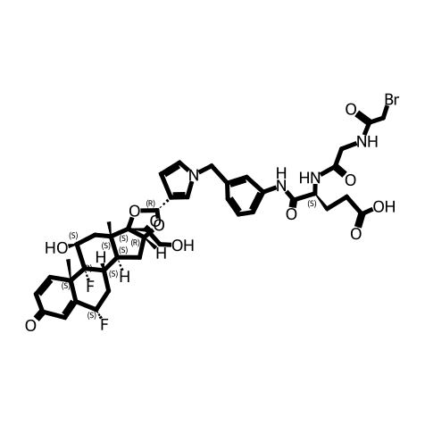 C[C@]12C=CC(=O)C=C1[C@@H](F)C[C@H]1[C@@H]3C[C@H]4O[C@@H](c5ccn(Cc6cccc(NC(=O)[C@H](CCC(=O)O)NC(=O)CNC(=O)CBr)c6)c5)O[C@@]4(C(=O)CO)[C@@]3(C)C[C@H](O)[C@@]12F